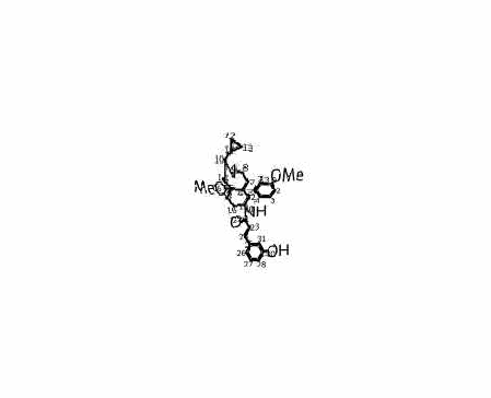 COc1cccc([C@@]23CCN(CC4CC4)C[C@@]2(OC)CC[C@H](NC(=O)C=Cc2cccc(O)c2)C3)c1